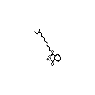 CCC(C)CCCCCCCCOC(=O)C1CCCCC1C(=O)O